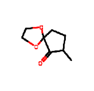 CC1CCC2(OCCO2)C1=O